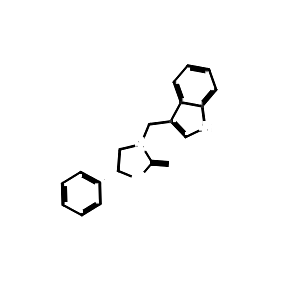 C[C@H]1[C@@H](c2ccccc2)OC(=S)N1Cc1c[nH]c2ccccc12